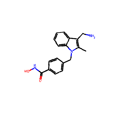 Cc1c(CN)c2ccccc2n1Cc1ccc(C(=O)NO)cc1